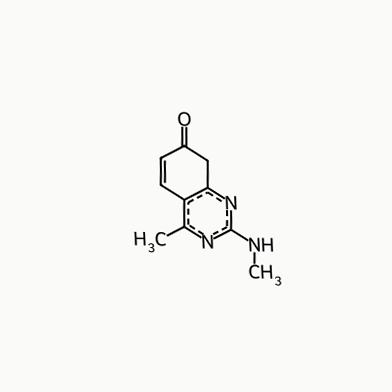 CNc1nc(C)c2c(n1)CC(=O)C=C2